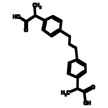 CC(C(=O)O)c1ccc(CCCc2ccc(C(C)C(=O)O)cc2)cc1